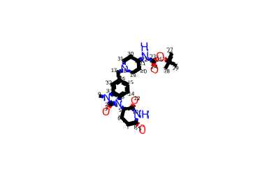 Cn1c(=O)n(C2CCC(=O)NC2=O)c2ccc(CN3CCC(NC(=O)OC(C)(C)C)CC3)cc21